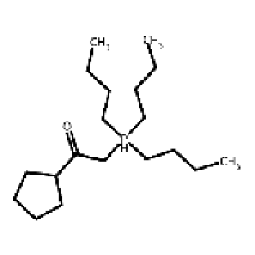 CCCC[PH](CCCC)(CCCC)CC(=O)C1CCCC1